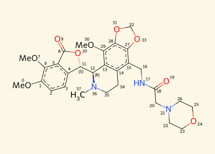 COc1ccc2c(c1OC)C(=O)O[C@@H]2[C@H]1c2c(c(CNC(=O)CN3CCOCC3)c3c(c2OC)OCO3)CCN1C